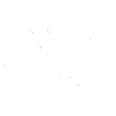 Cn1cc(-c2cc(CN3CCC(F)(F)C3)cc(Nc3ncc4cc(Br)ccc4n3)c2)cn1